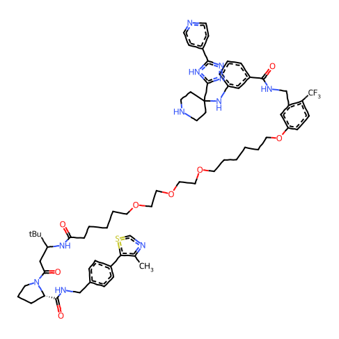 Cc1ncsc1-c1ccc(CNC(=O)[C@@H]2CCCN2C(=O)CC(NC(=O)CCCCCOCCOCCOCCCCCCOc2ccc(C(F)(F)F)c(CNC(=O)c3cccc(NC4(c5nnc(-c6ccncc6)[nH]5)CCNCC4)c3)c2)C(C)(C)C)cc1